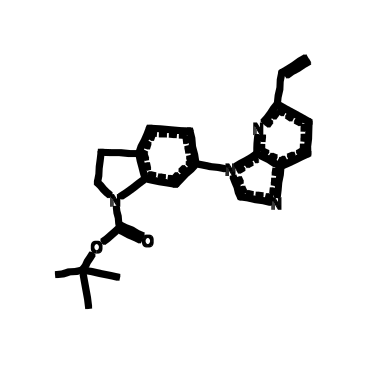 C=Cc1ccc2ncn(-c3ccc4c(c3)N(C(=O)OC(C)(C)C)CC4)c2n1